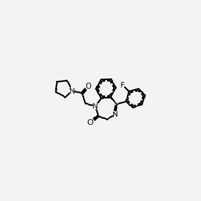 O=C(CN1C(=O)CN=C(c2ccccc2F)c2ccccc21)N1CCCC1